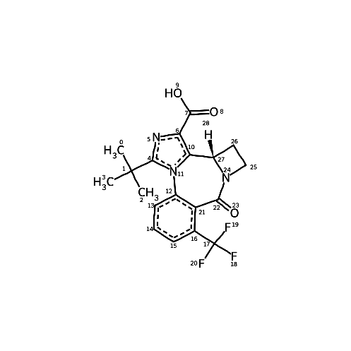 CC(C)(C)c1nc(C(=O)O)c2n1-c1cccc(C(F)(F)F)c1C(=O)N1CC[C@@H]21